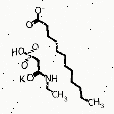 CCCCCCCCCCCC(=O)[O-].CCNC(=O)CS(=O)(=O)O.[K+]